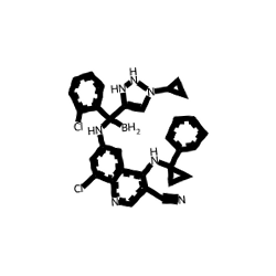 BC(Nc1cc(Cl)c2ncc(C#N)c(NC3(c4ccccc4)CC3)c2c1)(C1=CN(C2CC2)NN1)c1ccccc1Cl